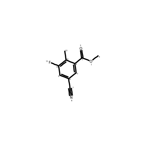 COC(=O)c1cc(C#N)cc(F)c1C